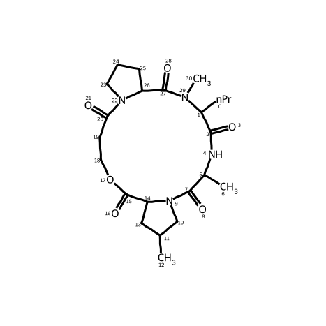 CCCC1C(=O)NC(C)C(=O)N2CC(C)CC2C(=O)OCCC(=O)N2CCCC2C(=O)N1C